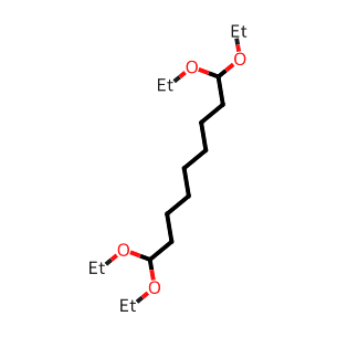 CCOC(CCCCCCCC(OCC)OCC)OCC